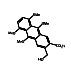 COc1ccc(OC)c2c(OC)c3cc(C(=O)O)c(CO)cc3c(OC)c12